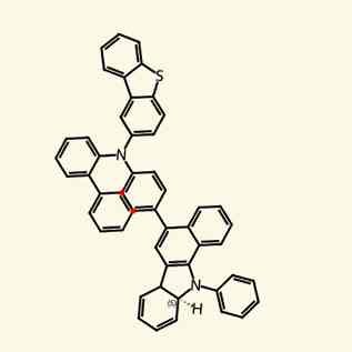 C1=CC2c3cc(-c4ccc(N(c5ccc6sc7ccccc7c6c5)c5ccccc5-c5ccccc5)cc4)c4ccccc4c3N(c3ccccc3)[C@H]2C=C1